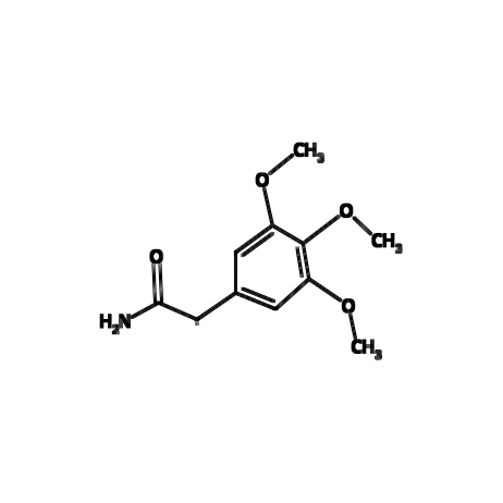 COc1cc([CH]C(N)=O)cc(OC)c1OC